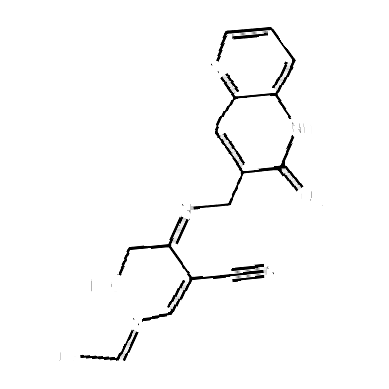 C=C1Nc2cccnc2C=C1C\N=C(CC)/C(C#N)=C\N=C\S